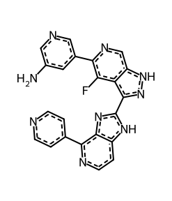 Nc1cncc(-c2ncc3[nH]nc(-c4nc5c(-c6ccncc6)nccc5[nH]4)c3c2F)c1